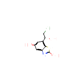 Oc1cc([C@@H](O)CCl)c2sc(O)nc2c1